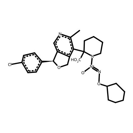 Cc1ncc2c(c1C1(C(=O)O)CCCCN1[N+]([O-])=NOC1CCCCC1)CO[C@H]2c1ccc(Cl)cc1